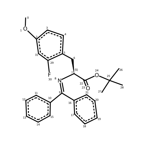 COc1ccc(C[C@H](N=C(c2ccccc2)c2ccccc2)C(=O)OC(C)(C)C)c(F)c1